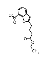 CCOC(=O)CCCc1cc2cccc([N+](=O)[O-])c2o1